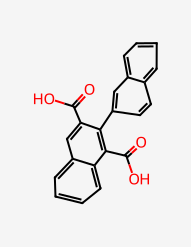 O=C(O)c1cc2ccccc2c(C(=O)O)c1-c1ccc2ccccc2c1